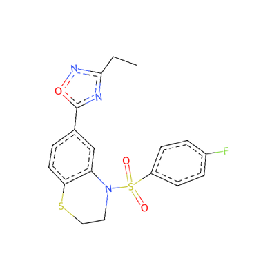 CCc1noc(-c2ccc3c(c2)N(S(=O)(=O)c2ccc(F)cc2)CCS3)n1